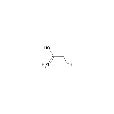 OCC(O)=[SiH2]